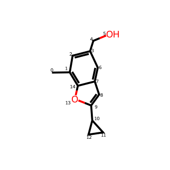 Cc1cc(CO)cc2cc(C3CC3)oc12